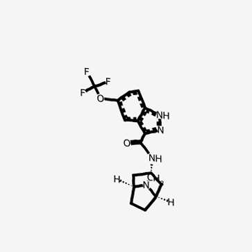 CN1[C@@H]2CC[C@H]1C[C@H](NC(=O)c1n[nH]c3ccc(OC(F)(F)F)cc13)C2